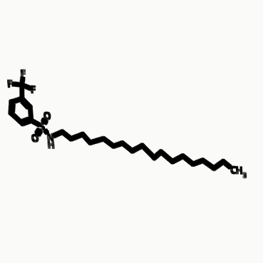 CCCCCCCCCCCCCCCCCCNS(=O)(=O)c1cccc(C(F)(F)F)c1